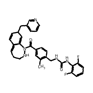 Cc1cc(C(=O)N2NCCC=C3C=CC(Cc4cccnc4)C=C32)ccc1CNC(=O)Nc1c(F)cccc1F